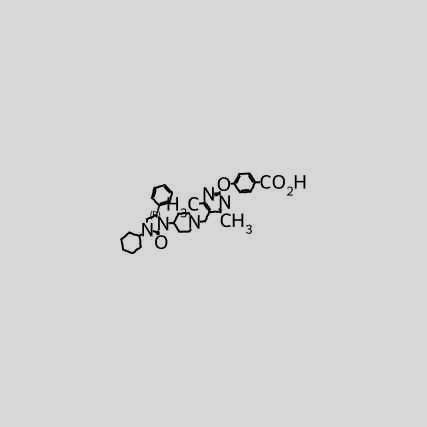 Cc1nc(Oc2ccc(C(=O)O)cc2)nc(C)c1CN1CCC(N2C(=O)N(C3CCCCC3)C[C@H]2c2ccccc2)CC1